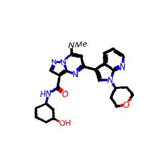 CNc1cc(-c2cn(C3CCOCC3)c3ncccc23)nc2c(C(=O)NC3CCCC(O)C3)cnn12